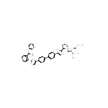 COC(=O)N[C@H](C(=O)N1CCCC1c1ncc(-c2ccc(-c3ccc(-c4cnc([C@@H]5C6CCC(C6)C5C(=O)Nc5ccccc5)[nH]4)cc3)cc2)[nH]1)[C@@H](C)OC